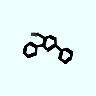 O=C(O)c1ccc(-c2ccccc2)nc1-c1ccccc1